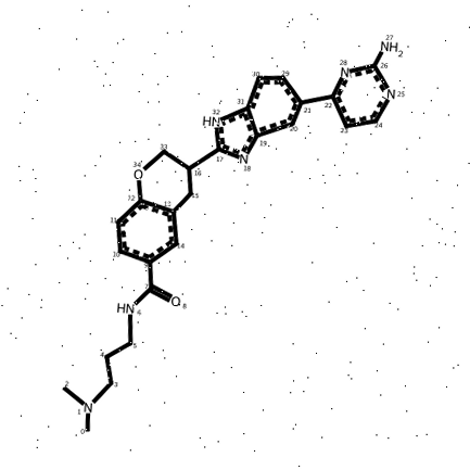 CN(C)CCCNC(=O)c1ccc2c(c1)CC(c1nc3cc(-c4ccnc(N)n4)ccc3[nH]1)CO2